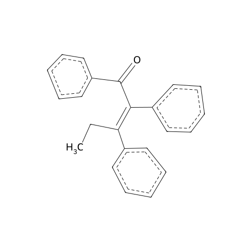 CCC(=C(C(=O)c1ccccc1)c1ccccc1)c1ccccc1